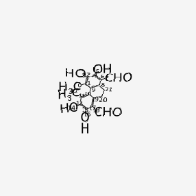 Cc1c(O)c(O)c(C=O)c2c1-c1c(C)c(O)c(O)c(C=O)c1CC2